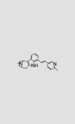 Cc1ccc(/C=C/c2cccc3c4c([nH]c23)CC2CCC4N2C)cn1